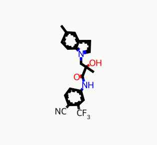 Cc1ccc2c(ccn2CC(C)(O)C(=O)Nc2ccc(C#N)c(C(F)(F)F)c2)c1